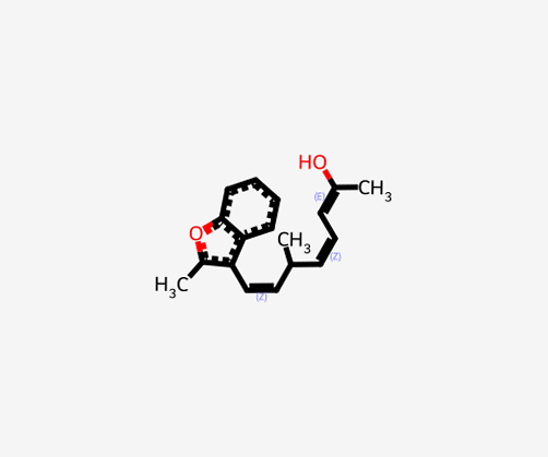 C/C(O)=C\C=C/C(C)/C=C\c1c(C)oc2ccccc12